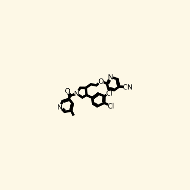 Cc1cncc(C(=O)N2CC(CCOc3ccc(C#N)cn3)C(c3ccc(Cl)c(Cl)c3)C2)c1